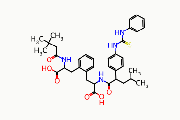 CC(C)CC(C(=O)NC(Cc1ccccc1CC(NC(=O)CC(C)(C)C)C(=O)O)C(=O)O)c1ccc(NC(=S)Nc2ccccc2)cc1